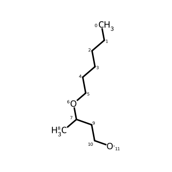 CCCCCCOC(C)CC[O]